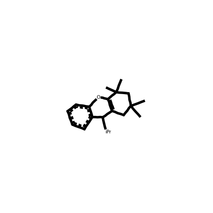 CC(C)C1C2=C(Oc3ccccc31)C(C)(C)CC(C)(C)C2